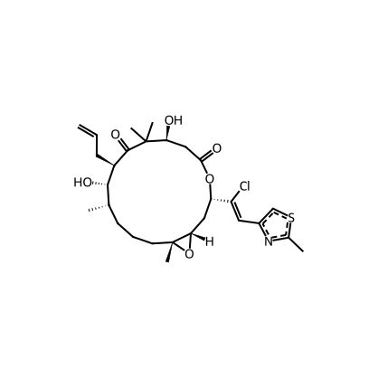 C=CC[C@H]1C(=O)C(C)(C)[C@@H](O)CC(=O)O[C@H](C(Cl)=Cc2csc(C)n2)C[C@@H]2O[C@]2(C)CCC[C@H](C)[C@@H]1O